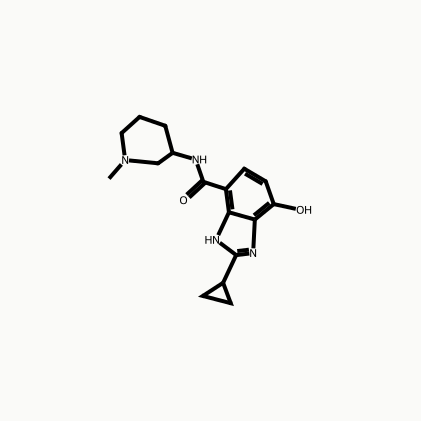 CN1CCCC(NC(=O)c2ccc(O)c3nc(C4CC4)[nH]c23)C1